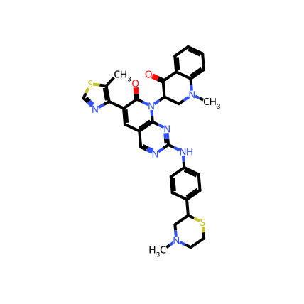 Cc1scnc1-c1cc2cnc(Nc3ccc(C4CN(C)CCS4)cc3)nc2n(C2CN(C)c3ccccc3C2=O)c1=O